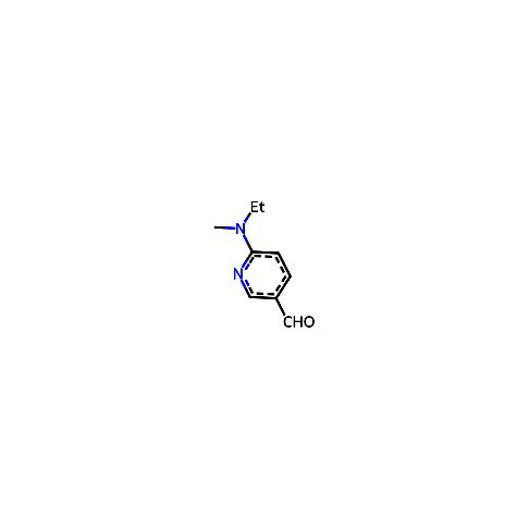 CCN(C)c1ccc(C=O)cn1